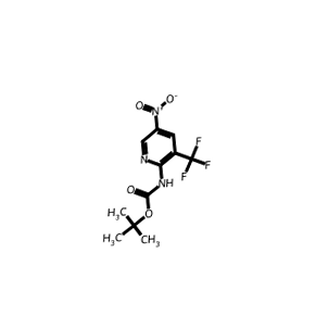 CC(C)(C)OC(=O)Nc1ncc([N+](=O)[O-])cc1C(F)(F)F